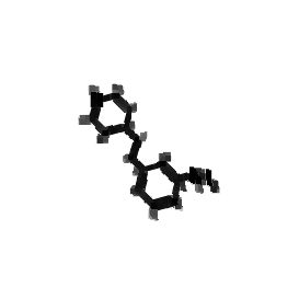 Nc1cccc(/C=C/c2ccncc2)c1